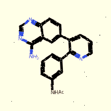 CC(=O)Nc1cccc(-c2ncccc2-c2ccc3ncnc(N)c3c2)c1